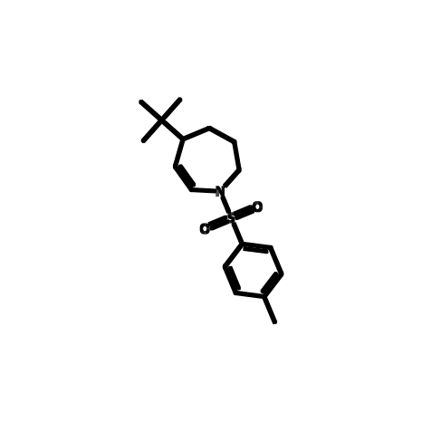 Cc1ccc(S(=O)(=O)N2C=CC(C(C)(C)C)CCC2)cc1